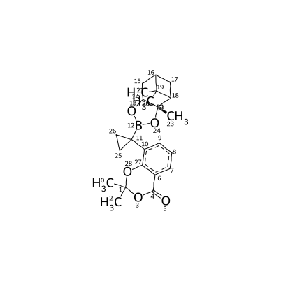 CC1(C)OC(=O)c2cccc(C3(B4OC5CC6CC(C6(C)C)[C@]5(C)O4)CC3)c2O1